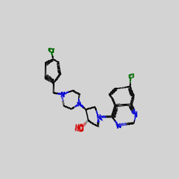 O[C@H]1CN(c2ncnc3cc(Cl)ccc23)C[C@@H]1N1CCN(Cc2ccc(Cl)cc2)CC1